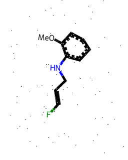 COc1ccccc1NCC=CF